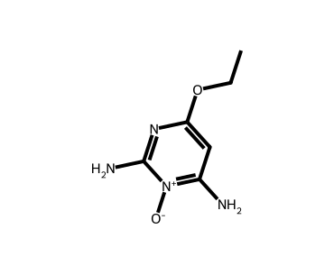 CCOc1cc(N)[n+]([O-])c(N)n1